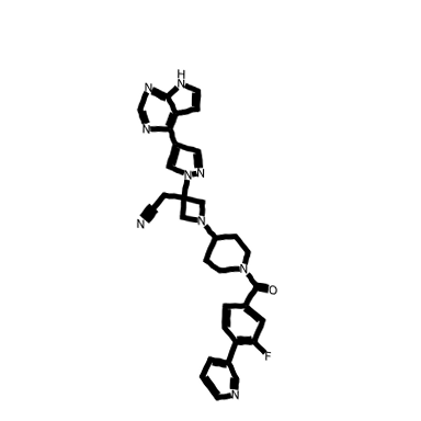 N#CCC1(n2cc(-c3ncnc4[nH]ccc34)cn2)CN(C2CCN(C(=O)c3ccc(-c4cccnc4)c(F)c3)CC2)C1